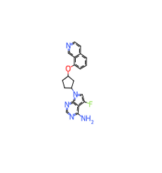 Nc1ncnc2c1c(F)cn2C1CCC(Oc2cccc3ccncc23)C1